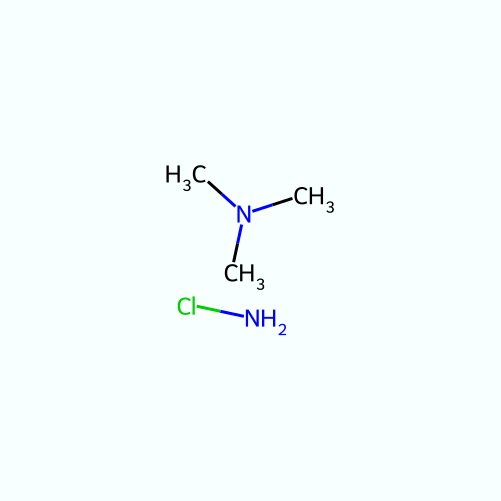 CN(C)C.NCl